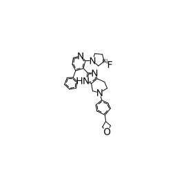 F[C@H]1CCN(c2nccc(-c3ccccc3)c2-c2nc3c([nH]2)CN(c2ccc(C4COC4)cc2)CC3)C1